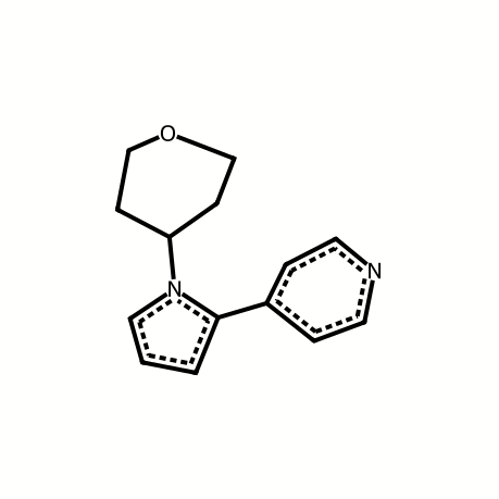 c1cc(-c2ccncc2)n(C2CCOCC2)c1